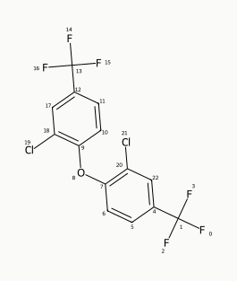 FC(F)(F)c1ccc(Oc2ccc(C(F)(F)F)cc2Cl)c(Cl)c1